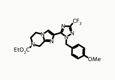 CCOC(=O)N1CCn2cc(-c3nc(C(F)(F)F)nn3Cc3ccc(OC)cc3)nc2C1